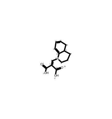 O=C(O)C(=CN1CCCC2CC=CC=C21)C(=O)O